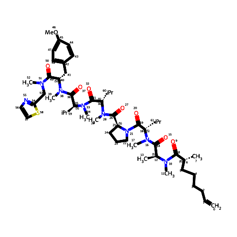 C=CCCCC[C@@H](C)C(=O)N(C)[C@@H](C)C(=O)N(C)[C@H](C(=O)N1CCC[C@H]1C(=O)N(C)[C@H](C(=O)N(C)[C@H](C(=O)N(C)[C@@H](Cc1ccc(OC)cc1)C(=O)N(C)Cc1nccs1)C(C)C)C(C)C)C(C)C